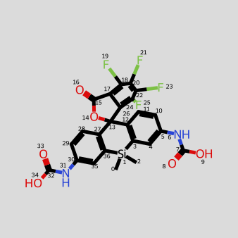 C[Si]1(C)c2cc(NC(=O)O)ccc2C2(OC(=O)c3c(F)c(F)c(F)c(F)c32)c2ccc(NC(=O)O)cc21